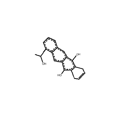 CC(O)c1cccc2cc3c(O)c4c(c(O)c3cc12)CC=CC4